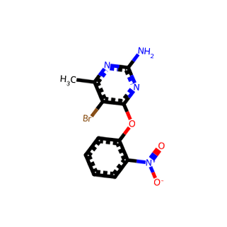 Cc1nc(N)nc(Oc2ccccc2[N+](=O)[O-])c1Br